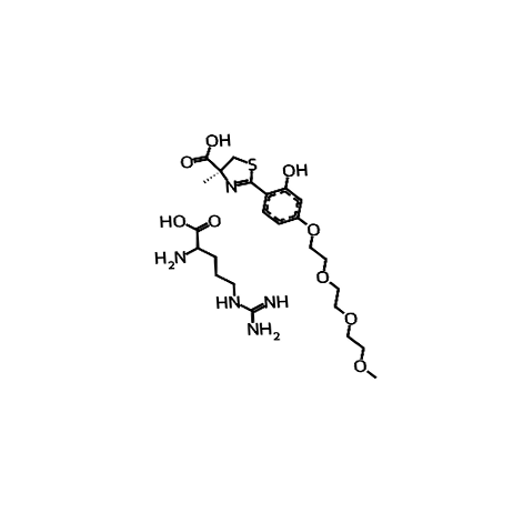 COCCOCCOCCOc1ccc(C2=N[C@@](C)(C(=O)O)CS2)c(O)c1.N=C(N)NCCCC(N)C(=O)O